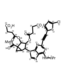 CCCNc1nc(C#Cc2ccc(Cl)s2)nc2c1ncn2C1C(OC(=O)CCC(=O)O)C(OC(=O)CCC(=O)O)C2(C(=O)NC)CC12